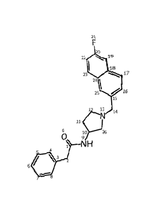 O=C(Cc1ccccc1)NC1CCN(Cc2ccc3cc(F)ccc3c2)C1